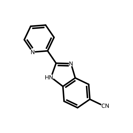 N#Cc1ccc2[nH]c(-c3ccccn3)nc2c1